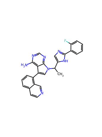 CC(c1cnc(-c2ccccc2F)[nH]1)n1cc(-c2cccc3ccncc23)c2c(N)ncnc21